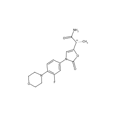 C[C@@H](C(N)=O)c1cn(-c2ccc(N3CCOCC3)c(F)c2)c(=O)o1